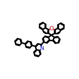 c1ccc(-c2ccc(-c3cc(-c4ccc5c(c4)-c4ccccc4C54c5ccc6ccccc6c5Oc5c4ccc4ccccc54)nc4ccccc34)cc2)cc1